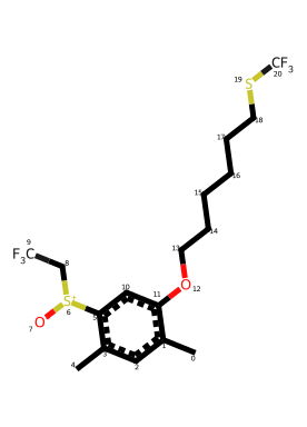 Cc1cc(C)c([S+]([O-])CC(F)(F)F)cc1OCCCCCCSC(F)(F)F